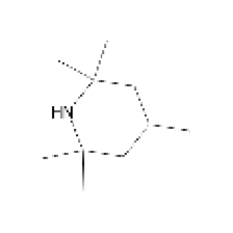 CC1CC(C)(C)NC(C)(C)C1